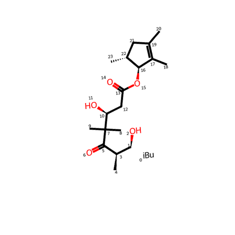 CC[C@H](C)[C@H](O)[C@@H](C)C(=O)C(C)(C)[C@@H](O)CC(=O)O[C@@H]1C(C)=C(C)C[C@H]1C